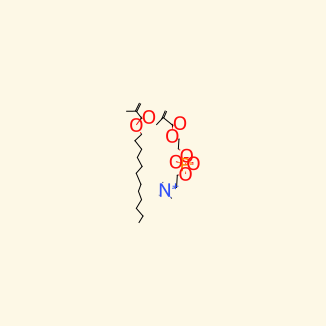 C=C(C)C(=O)OCCCCCCCCCCCC.C=C(C)C(=O)OCCOP(=O)([O-])OCC[N+](C)(C)C